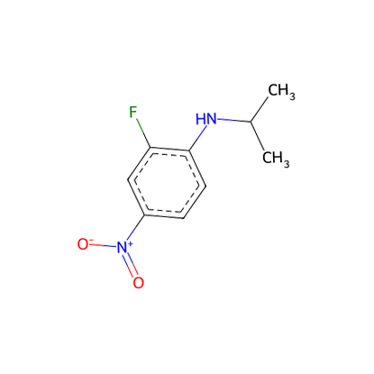 CC(C)Nc1ccc([N+](=O)[O-])cc1F